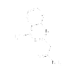 Cc1cc(CC(N)=O)nc2ccccc12